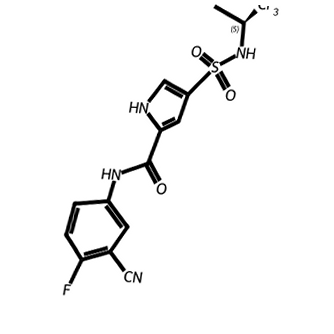 C[C@H](NS(=O)(=O)c1c[nH]c(C(=O)Nc2ccc(F)c(C#N)c2)c1)C(F)(F)F